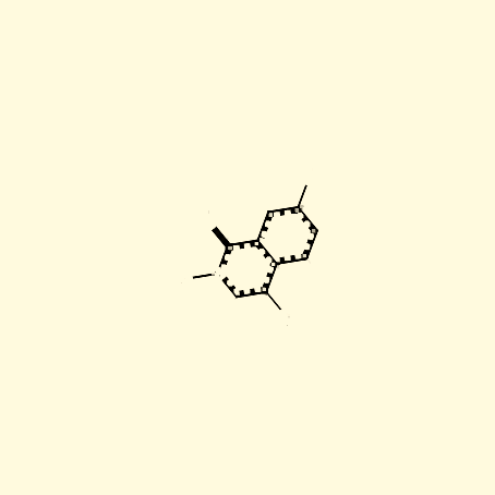 Cn1cc(Br)c2ccc(F)cc2c1=O